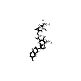 Cc1ccc2ncc(-c3cnn4c(N)c(Br)c(C(C)NCC5(CN(C)C(=O)[C@H](C)O)CC5)nc34)cc2c1